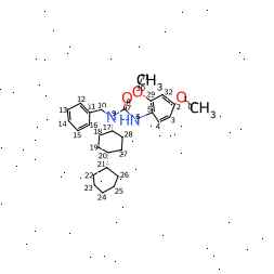 COc1ccc(NC(=O)N(Cc2ccccc2)[C@H]2CC[C@@H](C3CCCCC3)CC2)c(OC)c1